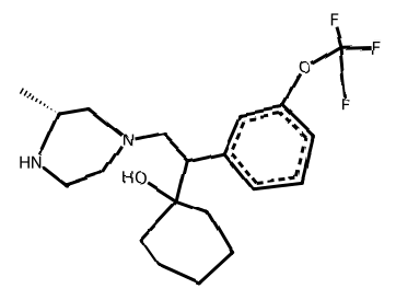 C[C@@H]1CN(CC(c2cccc(OC(F)(F)F)c2)C2(O)CCCCC2)CCN1